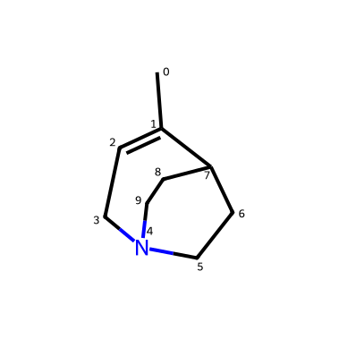 CC1=CCN2CCC1CC2